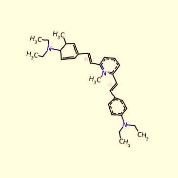 CCN(CC)c1ccc(/C=C/c2cccc(/C=C/C3=CC(C)C(N(CC)CC)C=C3)[n+]2C)cc1